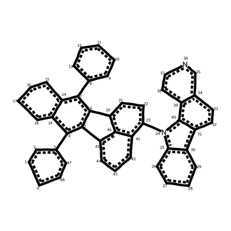 c1ccc(-c2c3c(c(-c4ccccc4)c4ccccc24)-c2ccc(-n4c5ccccc5c5ccc6cnccc6c54)c4cccc-3c24)cc1